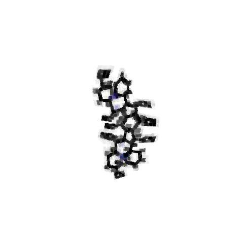 N#CC1=C(c2ccccc2)/C(=C(/C#N)c2ccc(C#N)cn2)c2c(C#N)c3c(c(C#N)c21)C(C#N)=C(c1ccccc1)/C3=C(/C#N)c1ccc(C#N)cn1